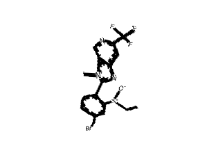 CC[S+]([O-])c1cc(Br)ccc1-c1nc2cc(C(F)(F)F)ncc2n1C